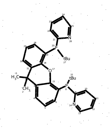 CC1(C)c2cccc(P(c3ccccn3)C(C)(C)C)c2Oc2c(P(c3ccccn3)C(C)(C)C)cccc21